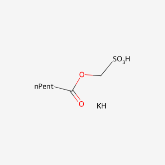 CCCCCC(=O)OCS(=O)(=O)O.[KH]